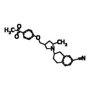 CC1CC(COc2ccc(S(C)(=O)=O)cc2)CN1C1CCc2ccc(C#N)cc2C1